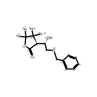 [2H]C1([2H])OC(=O)[C@H]([C@H](O)COCc2ccccc2)C1([2H])[2H]